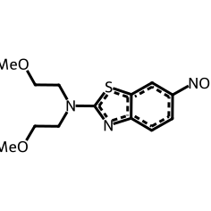 COCCN(CCOC)c1nc2ccc([N+](=O)[O-])cc2s1